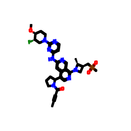 CC#CC(=O)N1CCCC1c1cnc(N2C[C@H](CS(C)(=O)=O)[C@H]2C)c2cnc(Nc3ccnc(N4CC[C@@H](OC)[C@@H](F)C4)n3)cc12